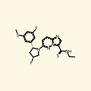 CCNC(=S)c1cnc2ccc(N3C[C@@H](F)C[C@@H]3c3cc(F)cc(SC)c3)nn12